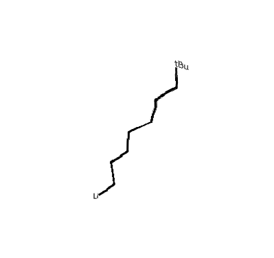 [Li][CH2]CCCCCCC(C)(C)C